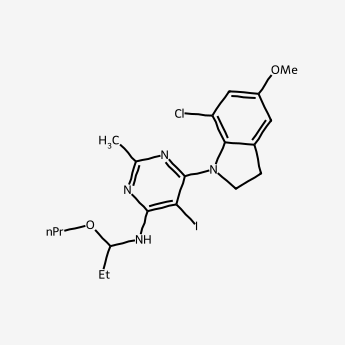 CCCOC(CC)Nc1nc(C)nc(N2CCc3cc(OC)cc(Cl)c32)c1I